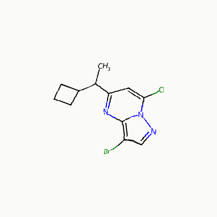 CC(c1cc(Cl)n2ncc(Br)c2n1)C1CCC1